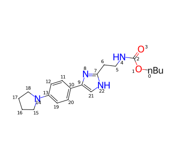 CCCCOC(=O)NCCc1nc(-c2ccc(N3CCCC3)cc2)c[nH]1